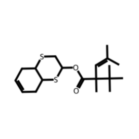 CC(C)=CC(C)(C(=O)OC1CSC2CC=CCC2S1)C(C)(C)C